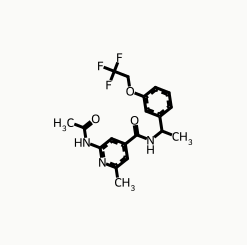 CC(=O)Nc1cc(C(=O)NC(C)c2cccc(OCC(F)(F)F)c2)cc(C)n1